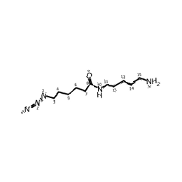 [N-]=[N+]=NCCCCCC(=O)NCCCCCN